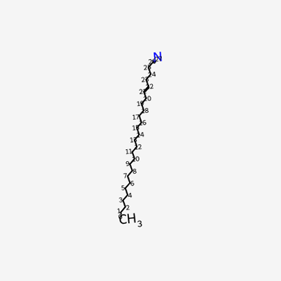 CCCCCCCCCCCCCCCCCCCCCC=CCCCC#N